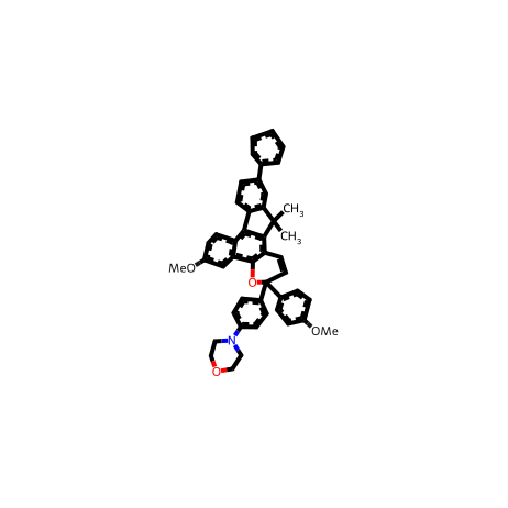 COc1ccc(C2(c3ccc(N4CCOCC4)cc3)C=Cc3c4c(c5ccc(OC)cc5c3O2)-c2ccc(-c3ccccc3)cc2C4(C)C)cc1